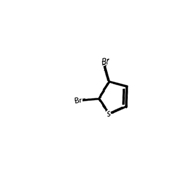 Br[C]1SC=CC1Br